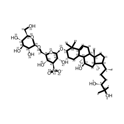 C[C@H](CC[C@@H](O)C(C)(C)O)C1CC[C@@]2(C)C3CC=C4C(CC[C@H](O[C@@H]5O[C@H](CO[C@@H]6O[C@H](CO)[C@@H](O)[C@H](O)[C@H]6O)[C@@H](O)[C@H]([N+](=O)[O-])[C@H]5O)C4(C)C)[C@]3(C)[C@H](O)C[C@]12C